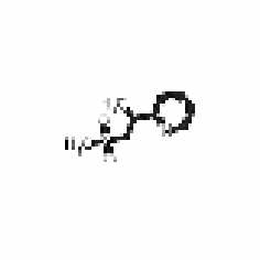 CC(CS(C)(=O)=O)c1ccccn1